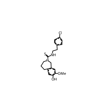 COc1cc2c(cc1O)CCCN(C(=S)NCCc1ccc(Cl)cc1)C2